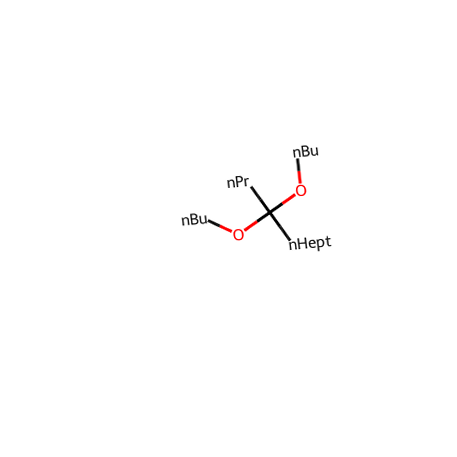 CCCCCCCC(CCC)(OCCCC)OCCCC